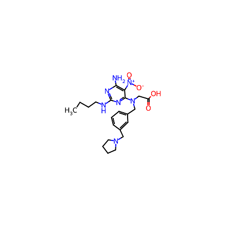 CCCCNc1nc(N)c([N+](=O)[O-])c(N(CC(=O)O)Cc2cccc(CN3CCCC3)c2)n1